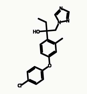 CCC(O)(Cn1cncn1)c1ccc(Oc2ccc(Cl)cc2)cc1C